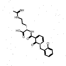 CC(=N)NCCC[C@H](NC(=O)c1cccn(Cc2ccccc2Cl)c1=O)C(=O)O